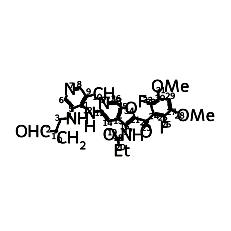 C=C(C=O)CNc1cncc(C)c1Nc1cc2c(NC(=O)CC)c(C(=O)c3c(F)c(OC)cc(OC)c3F)oc2cn1